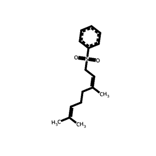 CC(C)=CCCC(C)=CCS(=O)(=O)c1ccccc1